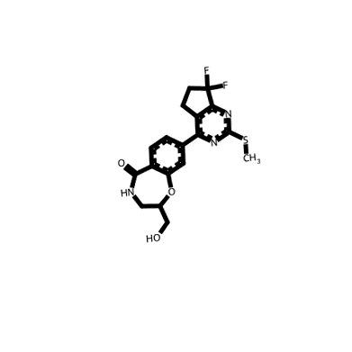 CSc1nc(-c2ccc3c(c2)OC(CO)CNC3=O)c2c(n1)C(F)(F)CC2